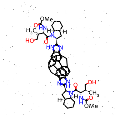 COC(=O)N[C@H](C(=O)N1[C@H](c2nc3cc(-c4cc5ccc4CCc4ccc(c(-c6ccc7[nH]c([C@@H]8C[C@@H]9CCCC[C@@H]9N8C(=O)[C@@H](NC(=O)OC)[C@@H](C)CO)nc7c6)c4)CC5)ccc3[nH]2)C[C@@H]2CCCC[C@@H]21)[C@@H](C)CO